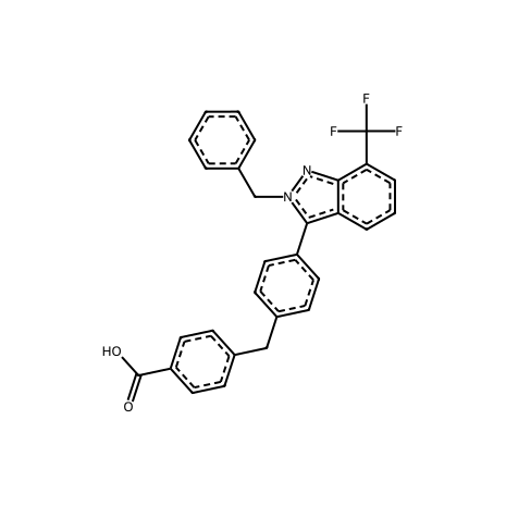 O=C(O)c1ccc(Cc2ccc(-c3c4cccc(C(F)(F)F)c4nn3Cc3ccccc3)cc2)cc1